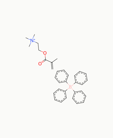 C=C(C)C(=O)OCC[N+](C)(C)C.c1ccc([B-](c2ccccc2)(c2ccccc2)c2ccccc2)cc1